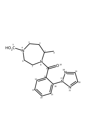 CC1CCN(C(=O)O)CCN1C(=O)c1ccccc1-n1nccn1